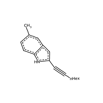 CCCCCCC#Cc1cc2cc(C)ccc2[nH]1